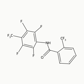 O=C(Nc1c(F)c(F)c(C(F)(F)F)c(F)c1F)c1ccccc1C(F)(F)F